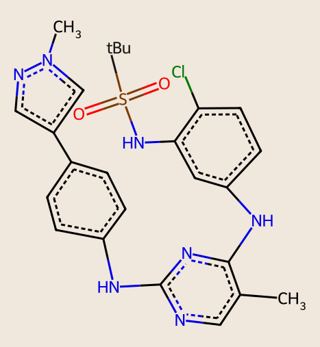 Cc1cnc(Nc2ccc(-c3cnn(C)c3)cc2)nc1Nc1ccc(Cl)c(NS(=O)(=O)C(C)(C)C)c1